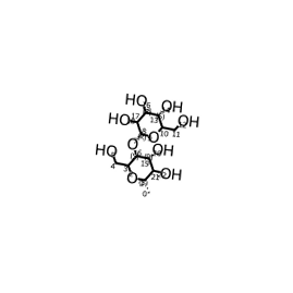 C[C@@H]1OC(CO)[C@@H](O[C@H]2OC(CO)[C@@H](O)[C@H](O)C2O)[C@H](O)C1O